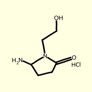 Cl.NC1CCC(=O)N1CCO